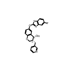 O[C@H]1c2cc(Oc3nc4cc(F)ccc4s3)ccc2OC[C@H]1Cc1cccnc1